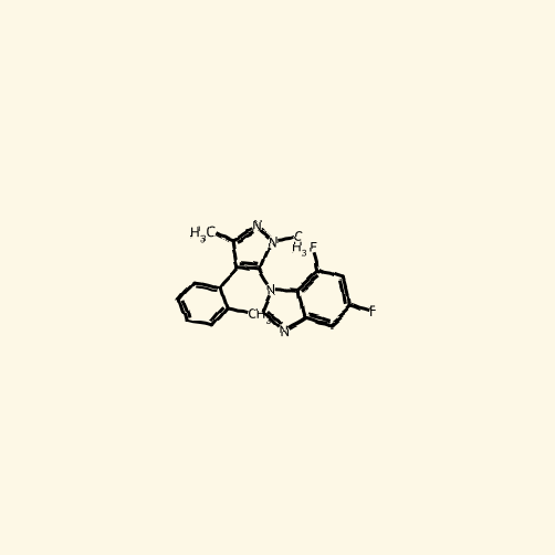 Cc1ccccc1-c1c(C)nn(C)c1-n1cnc2cc(F)cc(F)c21